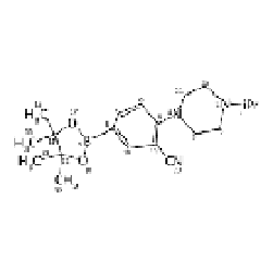 CC(C)N1CCN(c2ccc(B3OC(C)(C)C(C)(C)O3)cc2C#N)CC1